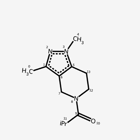 Cc1nn(C)c2c1CN(C(=O)C(C)C)CC2